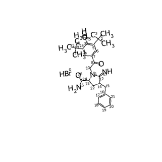 Br.CC(C)(C)c1cc(C(=O)CN2C(=N)C(Cc3ccccc3)CC2C(N)=O)cc(C(C)(C)C)c1O